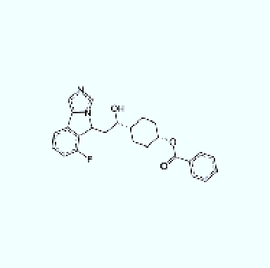 O=C(O[C@H]1CC[C@@H](C(O)CC2c3c(F)cccc3-c3cncn32)CC1)c1ccccc1